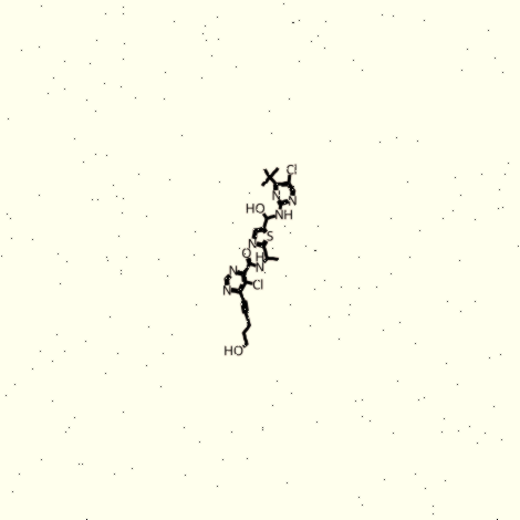 CC(NC(=O)c1ncnc(C#CCCCO)c1Cl)c1ncc(C(O)Nc2ncc(Cl)c(C(C)(C)C)n2)s1